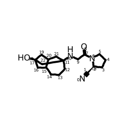 N#C[C@@H]1CCCN1C(=O)CNC12CCCC3CC(O)(CC3C1)C2